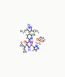 Cc1n[nH]c(C)c1-c1ccc(NC(=O)[C@@H](NC(=O)c2ccnn2CCS(C)(=O)=O)C(C2CC2)C2CC2)nc1F